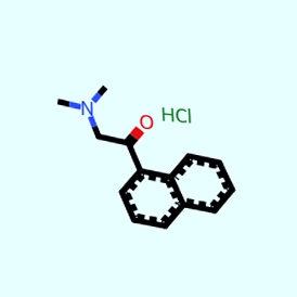 CN(C)CC(=O)c1cccc2ccccc12.Cl